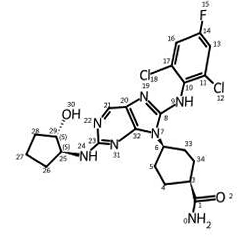 NC(=O)[C@H]1CC[C@@H](n2c(Nc3c(Cl)cc(F)cc3Cl)nc3cnc(N[C@H]4CCC[C@@H]4O)nc32)CC1